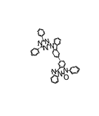 O=c1n(-c2ccccc2)c2ccc(-c3ccc4c(c3)c3ccccc3n4-c3nc(-c4ccccc4)nc(-c4ccccc4)n3)cc2c2nc3ccccc3n12